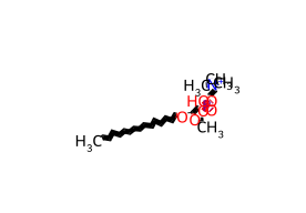 CCCCCCCCCCCCCCCCOC[C@H](COP(=O)(O)OCC[N+](C)(C)C)OCC